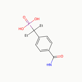 CCC(CC)(c1ccc(C([NH])=O)cc1)P(=O)(O)O